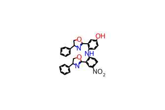 O=[N+]([O-])c1ccc(Nc2ccc(O)cc2C2=NC(c3ccccc3)CO2)c(C2=NC(c3ccccc3)CO2)c1